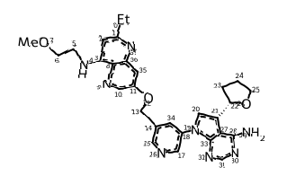 CCc1cc(NCCOC)c2ncc(OCc3cncc(-n4cc([C@@H]5CCCO5)c5c(N)ncnc54)c3)cc2n1